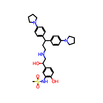 CS(=O)(=O)Nc1cc([C@@H](O)CNCCC(c2ccc(N3CCCC3)cc2)c2ccc(N3CCCC3)cc2)ccc1O